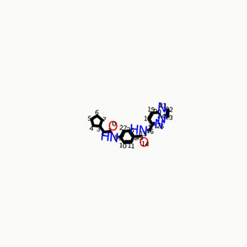 O=C(CC1CCCC1)Nc1ccc(C(=O)NCc2ccc3nccn3n2)cc1